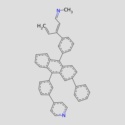 C=C/C(=C\C=N/C)c1cccc(-c2c3ccccc3c(-c3cccc(-c4ccncc4)c3)c3cc(-c4ccccc4)ccc23)c1